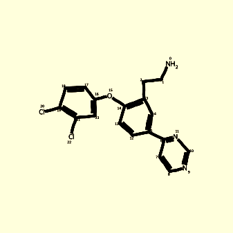 NCCc1cc(-c2ccncn2)ccc1Oc1ccc(Cl)c(Cl)c1